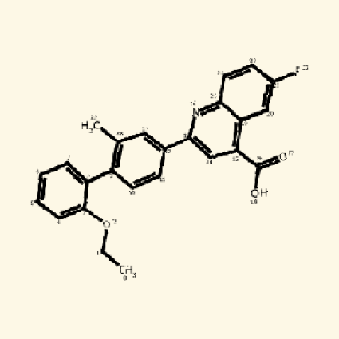 CCOc1ccccc1-c1ccc(-c2cc(C(=O)O)c3cc(F)ccc3n2)cc1C